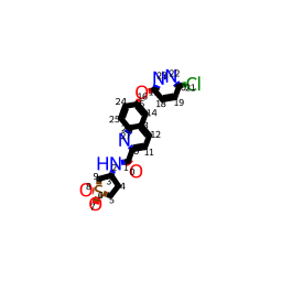 O=C(NC1CCS(=O)(=O)C1)c1ccc2cc(Oc3ccc(Cl)nn3)ccc2n1